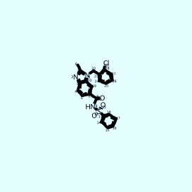 Cc1nc2ccc(C(=O)NS(=O)(=O)c3ccccc3)cc2n1Cc1ccccc1Cl